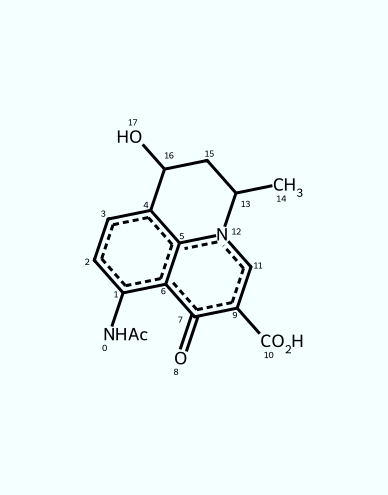 CC(=O)Nc1ccc2c3c1c(=O)c(C(=O)O)cn3C(C)CC2O